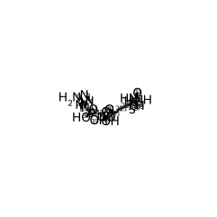 Nc1ncnc2c1ncn2[C@@H]1O[C@H](COP(=O)(O)OC(=O)CCCC[C@@H]2SC[C@@H]3NC(=O)N[C@@H]32)C(O)C1O